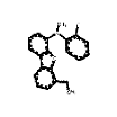 CCc1cccc2c1oc1c(N(C)c3ccccc3F)cccc12